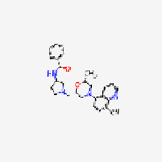 C[C@@H]1CN(c2ccc(C#N)c3ncccc23)C[C@H](CN2CCC(NC(=O)c3ccccc3)C2)O1